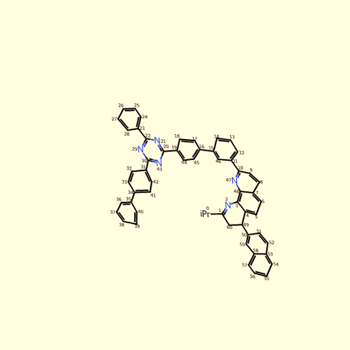 CC(C)C1=Nc2c(ccc3ccc(-c4cccc(-c5ccc(-c6nc(-c7ccccc7)nc(-c7ccc(-c8ccccc8)cc7)n6)cc5)c4)nc23)C(c2ccc3ccccc3c2)C1